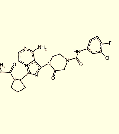 C=CC(=O)N1CCCC1c1nc(N2CCN(C(=O)Nc3ccc(F)c(Cl)c3)CC2=O)c2c(N)nccn12